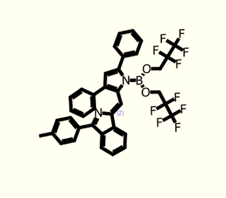 Cc1ccc(C2=N/C(=C\c3c(-c4ccccc4)cc(-c4ccccc4)n3B(OCC(F)(F)C(F)(F)F)OCC(F)(F)C(F)(F)F)c3ccccc32)cc1